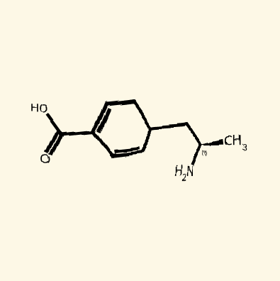 C[C@@H](N)CC1C=CC(C(=O)O)=CC1